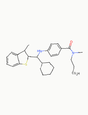 CC1c2ccccc2SC1C(Nc1ccc(C(=O)N(C)CCC(=O)O)cc1)C1CCCCC1